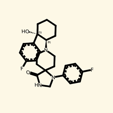 O=C1NCN(c2ccc(F)cc2)C12CCN([C@@H]1CCCC[C@]1(O)c1ccc(F)cc1)CC2